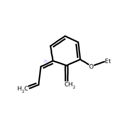 C=C/C=c1/cccc(OCC)c1=C